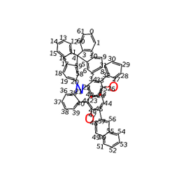 c1ccc(C2(c3ccccc3)c3ccccc3-c3ccc(N(c4ccc5oc6ccccc6c5c4)c4ccccc4-c4cccc5c4oc4cc6ccccc6cc45)cc32)cc1